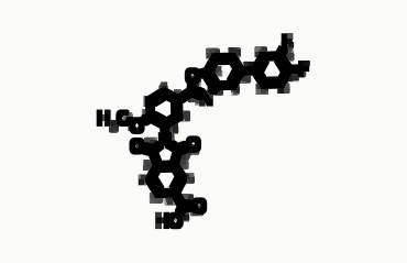 COc1ccc(-c2nc3cc(-c4ccc(F)c(F)c4)ccc3o2)cc1N1C(=O)c2ccc(C(=O)O)cc2C1=O